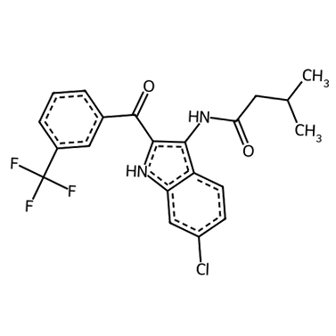 CC(C)CC(=O)Nc1c(C(=O)c2cccc(C(F)(F)F)c2)[nH]c2cc(Cl)ccc12